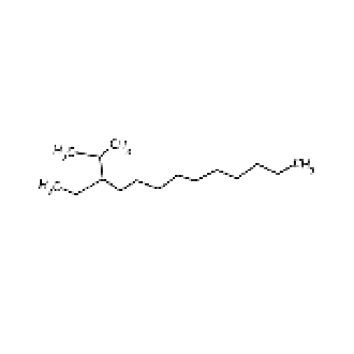 CCCCCCCCCCC(CC)C(C)C